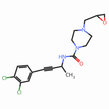 CC(C#Cc1ccc(Cl)c(Cl)c1)NC(=O)N1CCN(CC2CO2)CC1